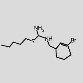 CCCCCSC(N)NCC1C=C(Br)CCC1